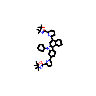 CC1(C)N=C(c2cccc(-c3ccc4c5c6ccccc6c(-c6cccc(C7=NC(C)(C)C(C)(C)O7)n6)cc5n(-c5ccccc5)c4c3)n2)OC1(C)C